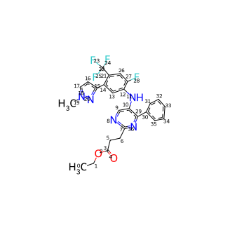 CCOC(=O)CCc1ncc(Nc2cc(-c3ccn(C)n3)c(C(F)(F)F)cc2F)c(-c2ccccc2)n1